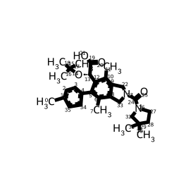 Cc1ccc(-c2c(C)c3c(c(C)c2[C@H](OC(C)(C)C)C(=O)O)CN(C(=O)N2CCC(C)(C)C2)C3)cc1